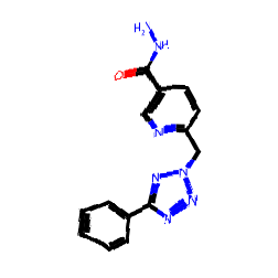 NNC(=O)c1ccc(Cn2nnc(-c3ccccc3)n2)nc1